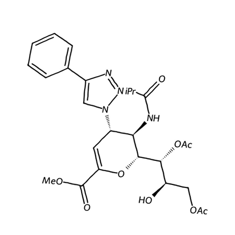 COC(=O)C1=C[C@H](n2cc(-c3ccccc3)nn2)[C@@H](NC(=O)C(C)C)[C@H]([C@H](OC(C)=O)[C@H](O)COC(C)=O)O1